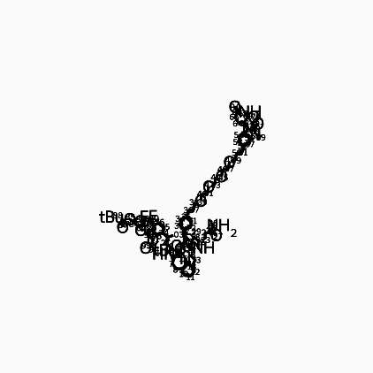 C/C(=C\C(=O)N[C@H]1CCc2cccc3c2N(C1=O)[C@H](C(=O)N[C@@H](CCC(N)=O)[C@@H](C)OCc1ccc(CCCOCCOCCOCCOCCCc2ccc4c(c2)n(C)c(=O)n4C2CCC(=O)NC2=O)cc1)C3)c1ccc(C(F)(F)P(=O)(OCOC(=O)C(C)(C)C)OCOC(=O)C(C)(C)C)cc1